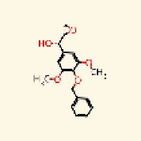 COc1cc([C@H](O)[C@@H]2CO2)cc(OC)c1OCc1ccccc1